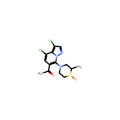 CC(=O)c1cc(Cl)c2c(Cl)cnn2c1N1CC[S+]([O-])C(C)C1